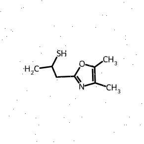 [CH2]C(S)Cc1nc(C)c(C)o1